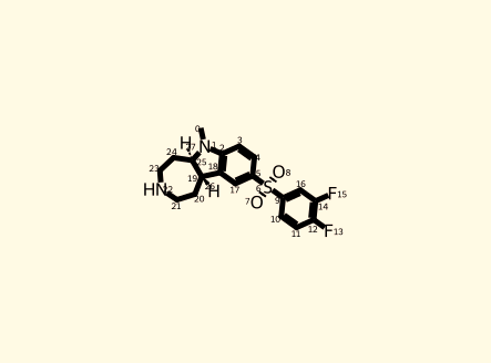 CN1c2ccc(S(=O)(=O)c3ccc(F)c(F)c3)cc2[C@@H]2CCNCC[C@H]21